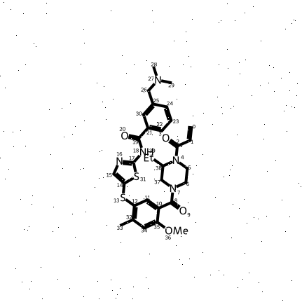 C=CC(=O)N1CCN(C(=O)c2cc(Sc3cnc(NC(=O)c4cccc(CN(C)C)c4)s3)c(C)cc2OC)CC1CC